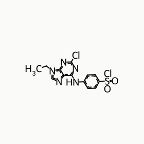 CCn1cnc2c(Nc3ccc(S(=O)(=O)Cl)cc3)nc(Cl)nc21